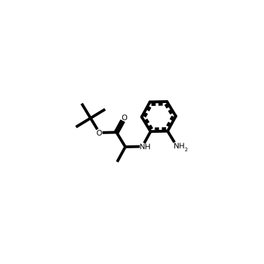 CC(Nc1ccccc1N)C(=O)OC(C)(C)C